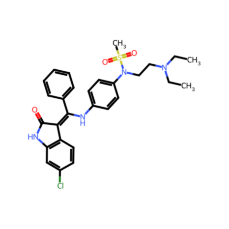 CCN(CC)CCN(c1ccc(NC(=C2C(=O)Nc3cc(Cl)ccc32)c2ccccc2)cc1)S(C)(=O)=O